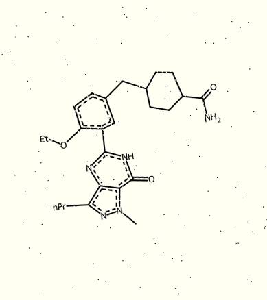 CCCc1nn(C)c2c(=O)[nH]c(-c3cc(CC4CCC(C(N)=O)CC4)ccc3OCC)nc12